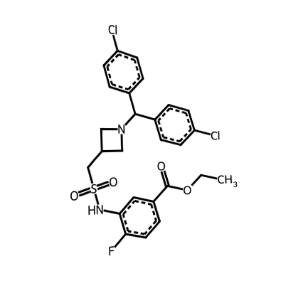 CCOC(=O)c1ccc(F)c(NS(=O)(=O)CC2CN(C(c3ccc(Cl)cc3)c3ccc(Cl)cc3)C2)c1